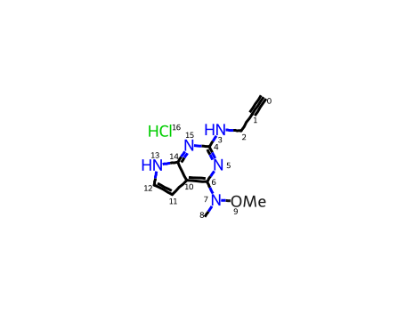 C#CCNc1nc(N(C)OC)c2cc[nH]c2n1.Cl